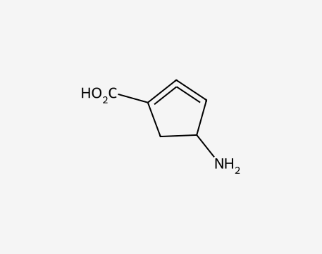 NC1C=C=C(C(=O)O)C1